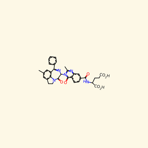 Cc1cc2c3c(c1)C(c1ccccc1)=NC(n1c(C)nc4cc(C(=O)NC(CCC(=O)O)C(=O)O)ccc4c1=O)C(=O)N3CC2